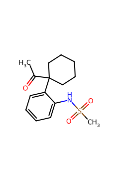 CC(=O)C1(c2ccccc2NS(C)(=O)=O)CCCCC1